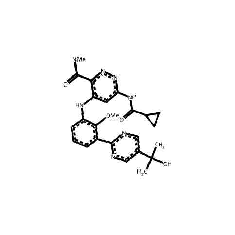 CNC(=O)c1nnc(NC(=O)C2CC2)cc1Nc1cccc(-c2ncc(C(C)(C)O)cn2)c1OC